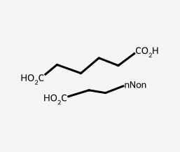 CCCCCCCCCCCC(=O)O.O=C(O)CCCCC(=O)O